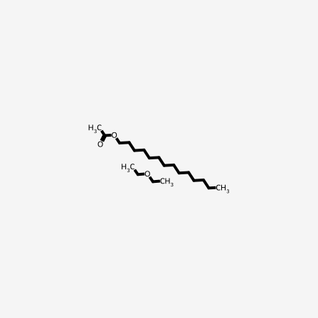 CCCCCCCCCCCCCCOC(C)=O.CCOCC